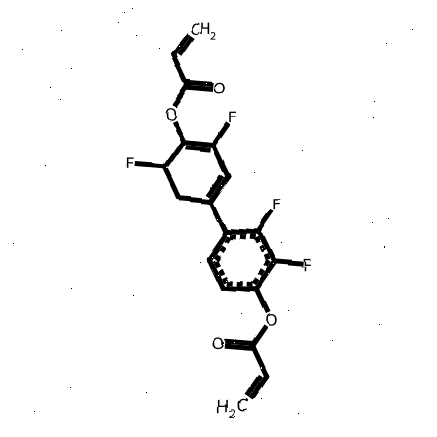 C=CC(=O)OC1=C(F)C=C(c2ccc(OC(=O)C=C)c(F)c2F)CC1F